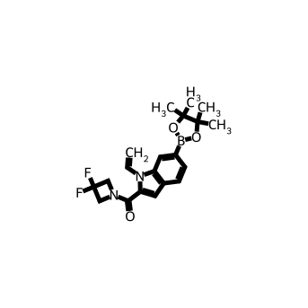 C=Cn1c(C(=O)N2CC(F)(F)C2)cc2ccc(B3OC(C)(C)C(C)(C)O3)cc21